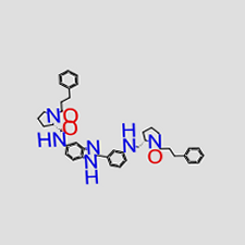 O=C(Nc1ccc2[nH]c(-c3cccc(NC[C@@H]4CCCN4C(=O)CCc4ccccc4)c3)nc2c1)[C@@H]1CCCN1C(=O)CCc1ccccc1